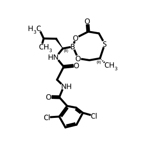 CC(C)C[C@H](NC(=O)CNC(=O)c1cc(Cl)ccc1Cl)B1OC[C@@H](C)SCC(=O)O1